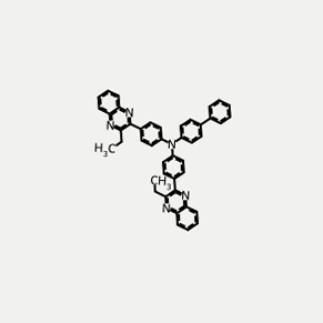 CCc1nc2ccccc2nc1-c1ccc(N(c2ccc(-c3ccccc3)cc2)c2ccc(-c3nc4ccccc4nc3CC)cc2)cc1